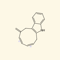 C=C1/C=C\C=C/Cc2[nH]c3ccccc3c2C1